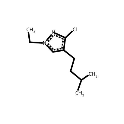 CCn1cc(CCC(C)C)c(Cl)n1